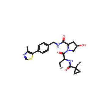 Cc1ncsc1-c1ccc(CNC(=O)C2CC(O)CN2C(=O)C(CC(C)C)NC(=O)C2(C(C)C)CC2)cc1